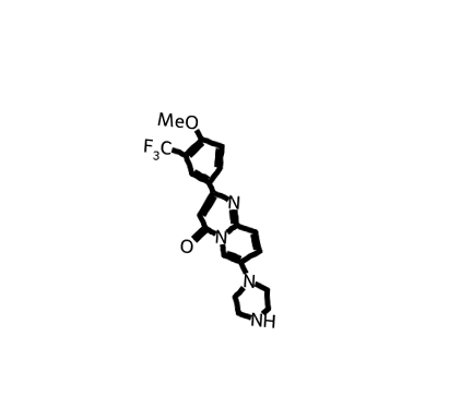 COc1ccc(-c2cc(=O)n3cc(N4CCNCC4)ccc3n2)cc1C(F)(F)F